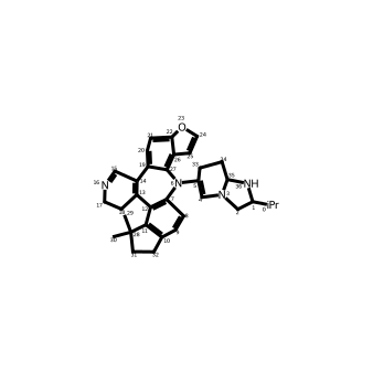 CC(C)C1CN2C=C(N3c4ccc5c(c4C4=C(C=NCC4)c4ccc6occc6c43)C(C)(C)CC5)CCC2N1